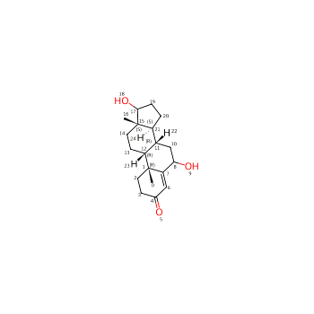 C[C@]12CCC(=O)C=C1C(O)C[C@@H]1[C@H]2CC[C@]2(C)C(O)CC[C@@H]12